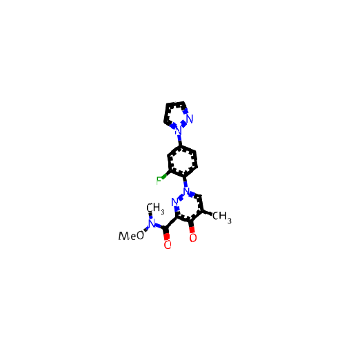 CON(C)C(=O)c1nn(-c2ccc(-n3cccn3)cc2F)cc(C)c1=O